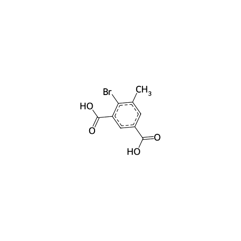 Cc1cc(C(=O)O)cc(C(=O)O)c1Br